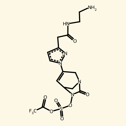 NCCNC(=O)Cc1ccn(C2=CC3CN(C2)C(=O)N3OS(=O)(=O)OC(=O)C(F)(F)F)n1